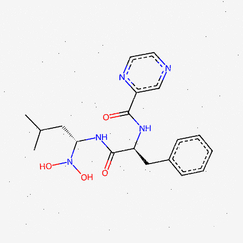 CC(C)C[C@H](NC(=O)[C@H](Cc1ccccc1)NC(=O)c1cnccn1)N(O)O